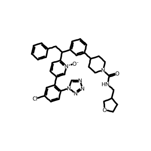 O=C(NCC1CCOC1)N1CCC(c2cccc(C(Cc3ccccc3)c3ccc(-c4cc(Cl)ccc4-n4cnnn4)c[n+]3[O-])c2)CC1